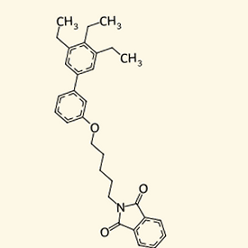 CCc1cc(-c2cccc(OCCCCCN3C(=O)c4ccccc4C3=O)c2)cc(CC)c1CC